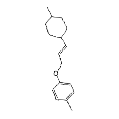 Cc1ccc(OC/C=C/C2CCC(C)CC2)cc1